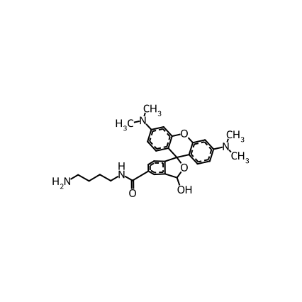 CN(C)c1ccc2c(c1)Oc1cc(N(C)C)ccc1C21OC(O)c2cc(C(=O)NCCCCN)ccc21